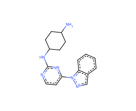 NC1CCC(Nc2nccc(-n3ncc4ccccc43)n2)CC1